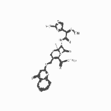 Nc1nc(/C(=N/O)C(=O)N[C@@H]2C(=O)N3C(C(=O)[O-])=C(CSc4cc(=O)c5ccccc5s4)CS[C@@H]23)cs1.[Na+]